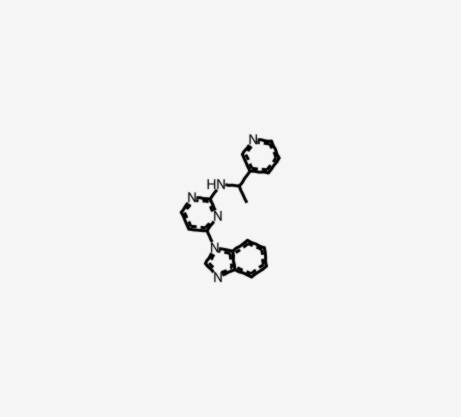 CC(Nc1nccc(-n2cnc3ccccc32)n1)c1cccnc1